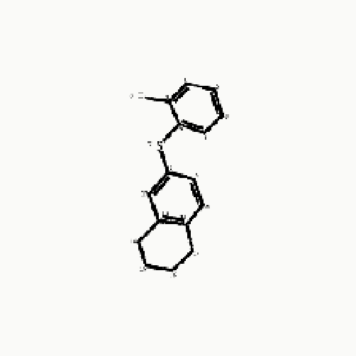 Fc1ccccc1Sc1ccc2c(c1)CCCC2